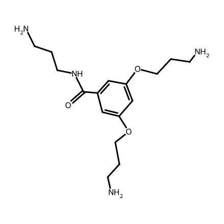 NCCCNC(=O)c1cc(OCCCN)cc(OCCCN)c1